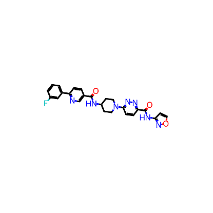 O=C(NC1CCN(c2ccc(C(=O)Nc3ccon3)nn2)CC1)c1ccc(-c2cccc(F)c2)nc1